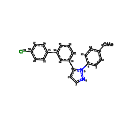 COc1ccc(-n2nccc2-c2cccc(-c3ccc(Cl)cc3)c2)cc1